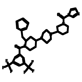 O=C(c1cc(C(F)(F)F)cc(C(F)(F)F)c1)N1CCC(N2CCN(C3CCCN(C(=O)n4ccnc4)C3)CC2)CC1Cc1ccccc1